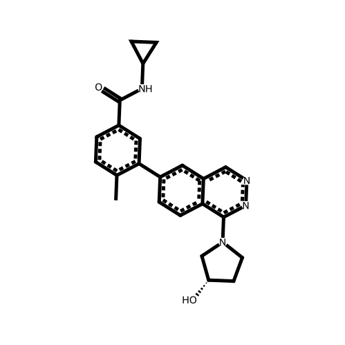 Cc1ccc(C(=O)NC2CC2)cc1-c1ccc2c(N3CC[C@H](O)C3)nncc2c1